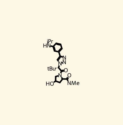 CNC(=O)C1CC(O)CN1C(=O)[C@@H](n1cc(-c2cccc(NC(C)C)c2)nn1)C(C)(C)C